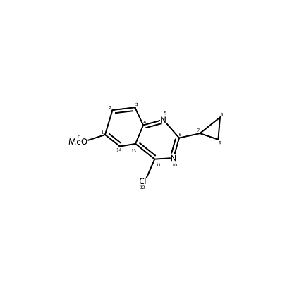 COc1ccc2nc(C3CC3)nc(Cl)c2c1